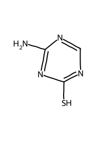 Nc1ncnc(S)n1